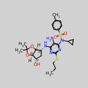 CCCSc1nc(N[C@@H]2C[C@H](O)[C@H]3OC(C)(C)O[C@H]32)c(N)c(N(C2CC2)S(=O)(=O)c2ccc(C)cc2)n1